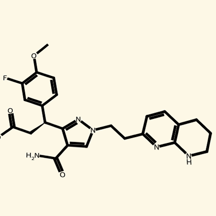 COc1ccc([C@H](CC(=O)O)c2nn(CCc3ccc4c(n3)NCCC4)cc2C(N)=O)cc1F